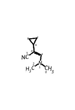 CN(C)C=C(C#N)C1CC1